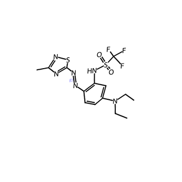 CCN(CC)c1ccc(/N=N/c2nc(C)ns2)c(NS(=O)(=O)C(F)(F)F)c1